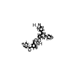 CN1CCN(C(=O)c2cc(F)c(NC(=O)ON3CCc4c(-c5cnc(N)nc5)nc(N5CCOCC5)nc43)c(F)c2)CC1